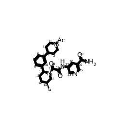 CC(=O)N1CCC(c2cccc(C3CC[C@H](C)CN3C(=O)C(=O)Nc3cncc(C(N)=O)c3)c2)CC1